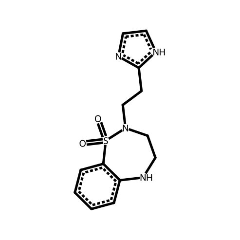 O=S1(=O)c2ccccc2NCCN1CCc1ncc[nH]1